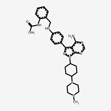 CC(=O)OC(=O)Nc1ccccc1CNc1ccc(-c2nn(C3CCC(N4CCN(C)CC4)CC3)c3ncnc(N)c23)cc1